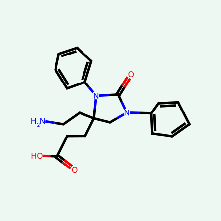 NCCC1(CCC(=O)O)CN(c2ccccc2)C(=O)N1c1ccccc1